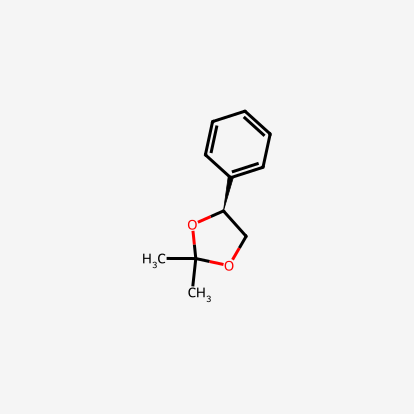 CC1(C)OC[C@H](c2ccccc2)O1